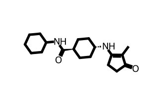 CC1=C(N[C@H]2CC[C@H](C(=O)NC3CCCCC3)CC2)CCC1=O